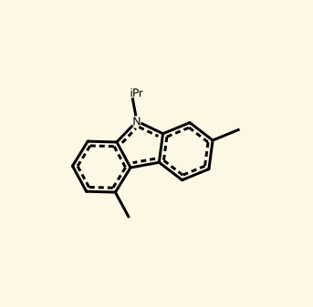 Cc1ccc2c3c(C)cccc3n(C(C)C)c2c1